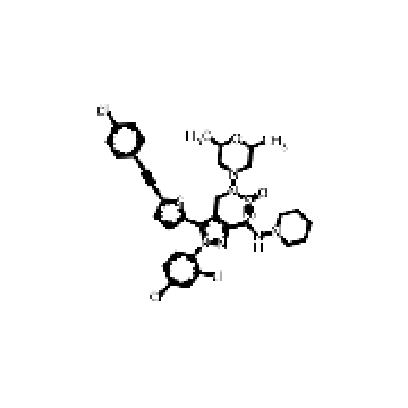 CC1CN(N(Cc2c(C(=O)NN3CCCCC3)nn(-c3ccc(Cl)cc3Cl)c2-c2ccc(C#Cc3ccc(Cl)cc3)s2)[SH](=O)=O)CC(C)O1